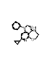 c1ccc(N2CN=C3NCCOc4nc(C5CC5)cc2c43)cc1